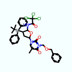 Cc1cn(C2CC([Si](c3ccccc3)(c3ccccc3)C(C)(C)C)C(NC(=O)C(Cl)(Cl)Cl)O2)c(=O)n(COCc2ccccc2)c1=O